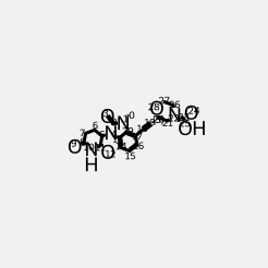 Cn1c(=O)n(C2CCC(=O)NC2=O)c2cccc(C#C[C@H]3CN(C(=O)O)CCO3)c21